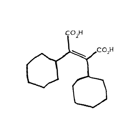 O=C(O)C(=C(C(=O)O)C1CCCCC1)C1CCCCC1